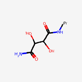 CC(C)NC(=O)C(O)C(O)C(N)=O